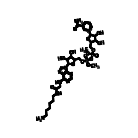 COP(=O)(OCC1OC(n2cnc3c(NCC(=O)NCCCCCCN)ncnc32)C(O)C1O)OP(=O)(OC)OCC1OC([n+]2cccc(C(N)=O)c2)C(O)C1O